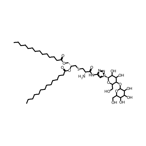 CCCCCCCCCCCCCC(=O)OC[C@H](CSC[C@@H](N)C(=O)Nc1cn([C@@H]2OC(CO)C(OC3OC(CO)C(O)C(O)C3O)C(O)C2O)nn1)OC(=O)CCCCCCCCCCCCC